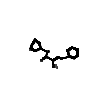 C/C(=C\Oc1ccccc1)C(=O)Nc1cccnc1